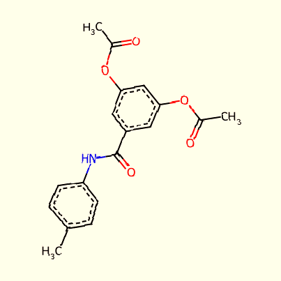 CC(=O)Oc1cc(OC(C)=O)cc(C(=O)Nc2ccc(C)cc2)c1